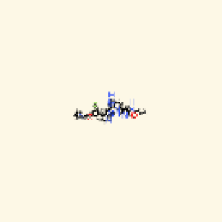 CC(C)CC(=O)Nc1cncc(-c2ccc3[nH]nc(-c4cc5c(-c6cc(F)cc(OCCN7CCCC7)c6)ccnc5[nH]4)c3n2)c1